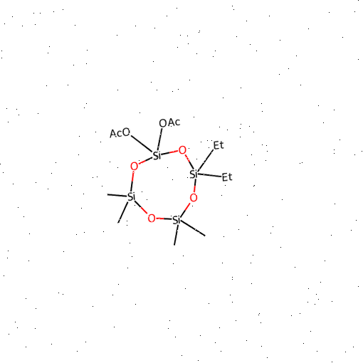 CC[Si]1(CC)O[Si](C)(C)O[Si](C)(C)O[Si](OC(C)=O)(OC(C)=O)O1